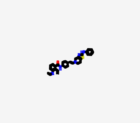 C=Cc1c(/N=C\C)cccc1C(=O)N[C@H]1CC[C@H](CCN2CCc3sc(Nc4ccccc4)nc3C2)CC1